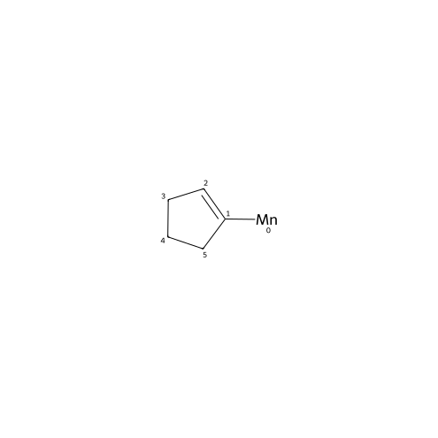 [Mn][C]1=CCCC1